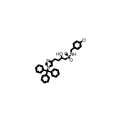 O=S(=O)(CC(O)CCc1cn(C(c2ccccc2)(c2ccccc2)c2ccccc2)cn1)NCc1ccc(Cl)cc1